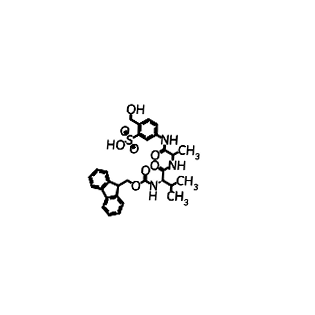 CC(NC(=O)[C@@H](NC(=O)OCC1c2ccccc2-c2ccccc21)C(C)C)C(=O)Nc1ccc(CO)c(S(=O)(=O)O)c1